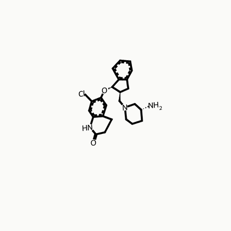 N[C@@H]1CCCN(C[C@@H]2Cc3ccccc3[C@H]2Oc2cc3c(cc2Cl)NC(=O)CC3)C1